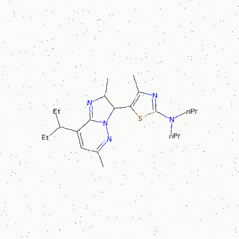 CCCN(CCC)c1nc(C)c(C2C(C)N=C3C(C(CC)CC)=CC(C)=NN32)s1